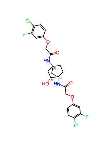 O=C(COc1ccc(Cl)c(F)c1)N[C@]12CC[C@](NC(=O)COc3ccc(Cl)c(F)c3)(C1)[C@H](O)C2